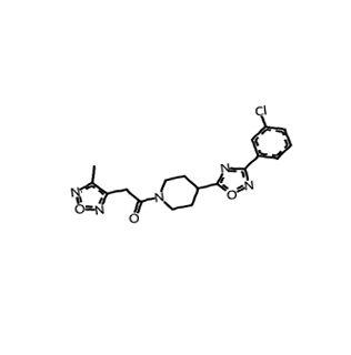 Cc1nonc1CC(=O)N1CCC(c2nc(-c3cccc(Cl)c3)no2)CC1